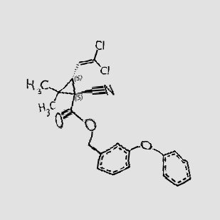 CC1(C)[C@H](C=C(Cl)Cl)[C@]1(C#N)C(=O)OCc1cccc(Oc2ccccc2)c1